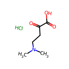 CN(C)CCC(=O)C(=O)O.Cl